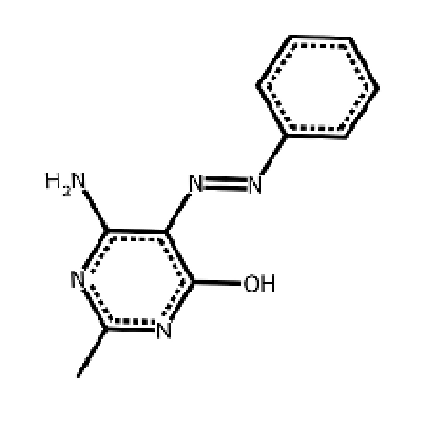 Cc1nc(N)c(/N=N/c2ccccc2)c(O)n1